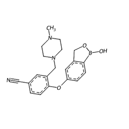 CN1CCN(Cc2cc(C#N)ccc2Oc2ccc3c(c2)COB3O)CC1